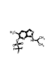 Cc1cc2cnn(PC(C)C)c2nc1OS(=O)(=O)C(F)(F)F